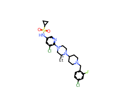 CC[C@H]1CN(c2ncc(NS(=O)(=O)C3CC3)cc2Cl)CCN1C1CCN(Cc2ccc(Cl)cc2F)CC1